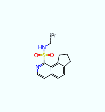 CC(C)CNS(=O)(=O)c1nccc2ccc3c(c12)CCC3